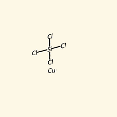 Cl[Si](Cl)(Cl)Cl.[Cu]